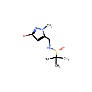 Cn1nc(Br)cc1CN[S+]([O-])C(C)(C)C